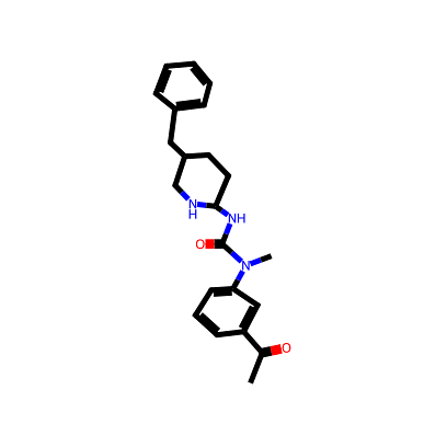 CC(=O)c1cccc(N(C)C(=O)NC2CCC(Cc3ccccc3)CN2)c1